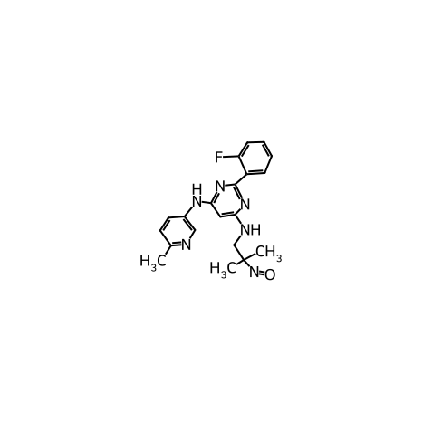 Cc1ccc(Nc2cc(NCC(C)(C)N=O)nc(-c3ccccc3F)n2)cn1